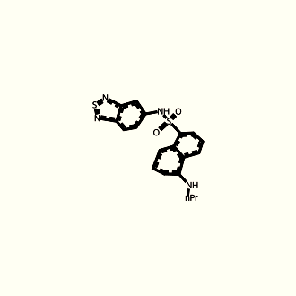 CCCNc1cccc2c(S(=O)(=O)Nc3ccc4nsnc4c3)cccc12